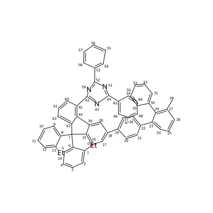 CCc1ccccc1C1(c2ccccc2CC)c2ccc(-c3ccc(-c4cccc(C)c4-c4ccccc4)cc3)cc2-c2c(-c3nc(-c4ccccc4)nc(-c4ccccc4)n3)cccc21